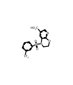 O=C(O)c1cnc2c(c1)N(S(=O)(=O)c1cccc(C(F)(F)F)c1)CCO2